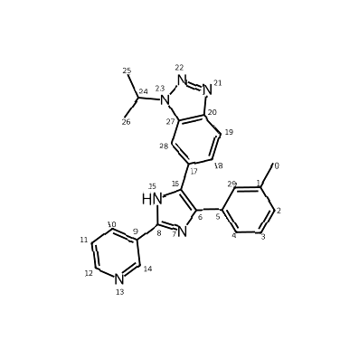 Cc1cccc(-c2nc(-c3cccnc3)[nH]c2-c2ccc3nnn(C(C)C)c3c2)c1